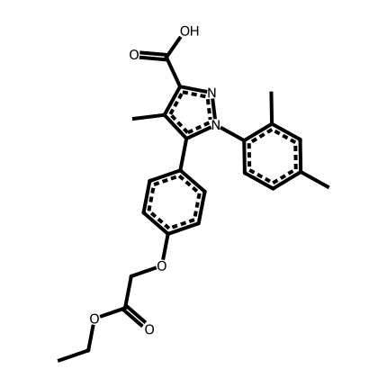 CCOC(=O)COc1ccc(-c2c(C)c(C(=O)O)nn2-c2ccc(C)cc2C)cc1